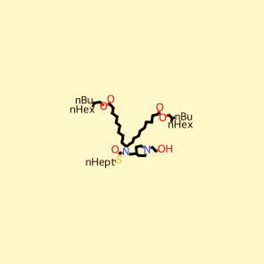 CCCCCCCSC(=O)N(CC1CCN(CCO)CC1)C(CCCCCCCCC(=O)OCC(CCCC)CCCCCC)CCCCCCCCC(=O)OCC(CCCC)CCCCCC